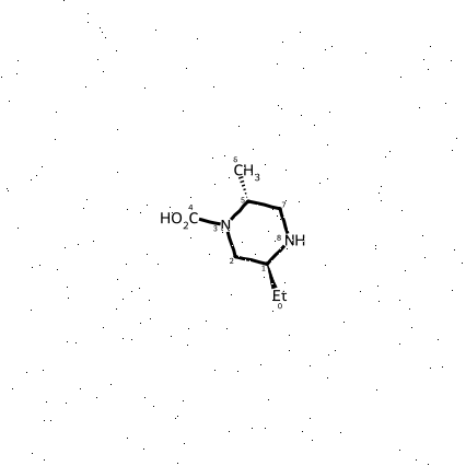 CC[C@H]1CN(C(=O)O)[C@H](C)CN1